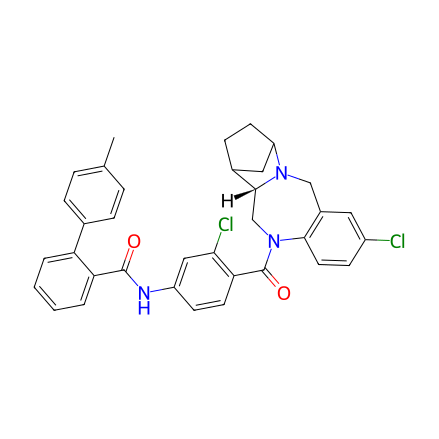 Cc1ccc(-c2ccccc2C(=O)Nc2ccc(C(=O)N3C[C@@H]4C5CCC(C5)N4Cc4cc(Cl)ccc43)c(Cl)c2)cc1